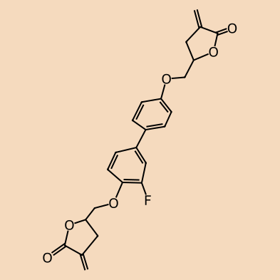 C=C1CC(COc2ccc(-c3ccc(OCC4CC(=C)C(=O)O4)c(F)c3)cc2)OC1=O